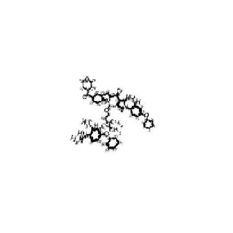 Cc1cc(Oc2ccccc2)ccc1-n1ncc(C(=O)c2cc3cc(C(=O)N4CCOCC4)ccc3n2COCC[Si](C)(C)C)c1N.Cc1cc(Oc2ccccc2)ccc1NN